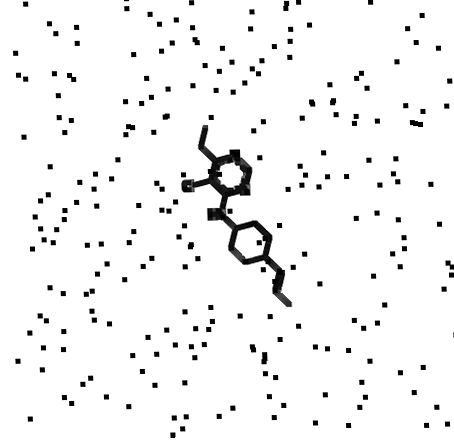 C/C=C/C1CCC(Nc2ncnc(CC)c2Cl)CC1